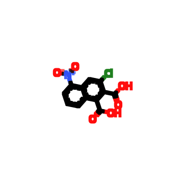 O=C(O)c1c(Cl)cc2c([N+](=O)[O-])cccc2c1C(=O)O